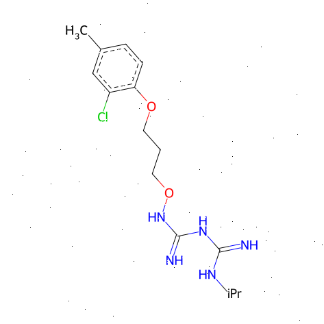 Cc1ccc(OCCCONC(=N)NC(=N)NC(C)C)c(Cl)c1